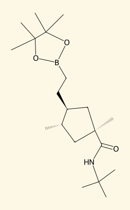 C[C@H]1C[C@](C)(C(=O)NC(C)(C)C)C[C@@H]1CCB1OC(C)(C)C(C)(C)O1